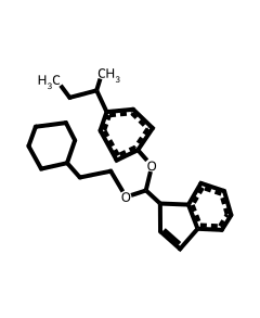 CCC(C)c1ccc(OC(OCCC2CCCCC2)C2C=Cc3ccccc32)cc1